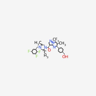 Cc1c(-c2ccc(CO)cc2)nc2c(C(=O)N3C[C@H](C)N(Cc4cc(F)cc(F)c4F)C[C@H]3C)cnn2c1C(F)(F)F